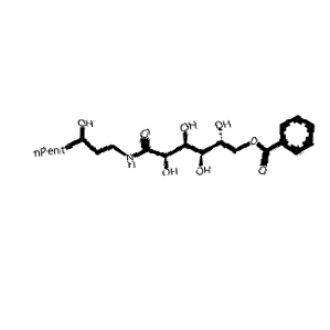 CCCCCC(O)CCNC(=O)[C@H](O)[C@@H](O)[C@H](O)[C@H](O)COC(=O)c1ccccc1